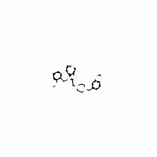 COc1ccccc1Cn1c(CN2CCN(Cc3ccc4c(c3)OCO4)CC2)nc2cnccc21